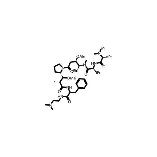 CC[C@H](C)[C@@H]([C@@H](CC(=O)N1CCC[C@H]1C(OC)[C@@H](C)C(=O)N[C@@H](Cc1ccccc1)C(=O)NCCN(C)C)OC)N(C)C(=O)[C@@H](NC(=O)[C@H](C(C)C)N(C)C(C)C)C(C)C